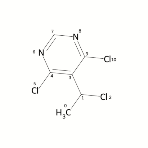 CC(Cl)c1c(Cl)ncnc1Cl